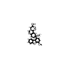 [C-]#[N+]C1(c2ccc(OC)c3oc4ccccc4c23)CCc2ncn(CC(=O)O)c(=O)c2C1